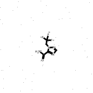 NC(=O)c1ncnn1CC(F)(F)F